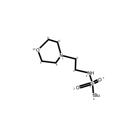 CC(C)(C)S(=O)(=O)NCCN1CCOCC1